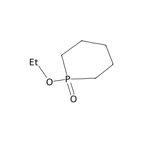 CCOP1(=O)CCCCC1